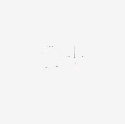 Cc1cccc2c1COC2(C)C